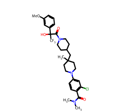 COc1cccc(C(O)(C(=O)N2CCC(CC3(C)CCN(c4ccc(C(=O)N(C)C)c(Cl)c4)CC3)CC2)C(F)(F)F)c1